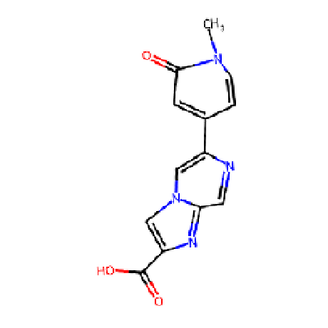 Cn1ccc(-c2cn3cc(C(=O)O)nc3cn2)cc1=O